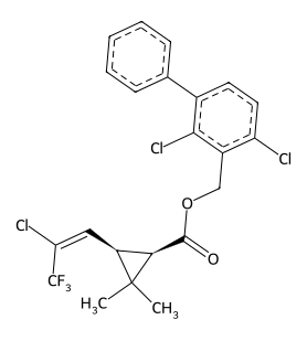 CC1(C)[C@H](C(=O)OCc2c(Cl)ccc(-c3ccccc3)c2Cl)[C@@H]1/C=C(/Cl)C(F)(F)F